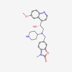 COc1ccc2nccc([C@@H](O)CN(Cc3ccc4c(c3)oc(=O)n4C)C3CCNCC3)c2c1